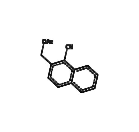 CC(=O)OCc1ccc2ccccc2c1C#N